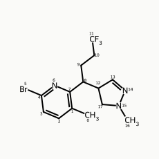 Cc1ccc(Br)nc1C(CCC(F)(F)F)C1C=NN(C)C1